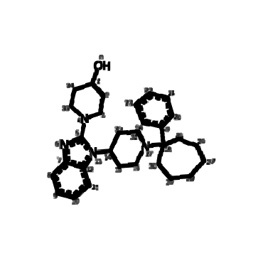 OC1CCN(c2nc3ccccc3n2C2CCN(C3(c4ccccc4)CCCCCC3)CC2)CC1